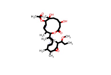 CCC(OC)C(C)C1OC1[C@@H](C)C(C)/C=C/C=C(\C)C1OC(=O)CC(O)CCC(C)(O)C(OC(C)=O)/C=C/C1C